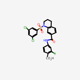 O=C(Nc1ccc(C(=O)O)c(F)c1)c1ccc2c(c1)N(S(=O)(=O)c1cc(Cl)cc(Cl)c1)CCC2